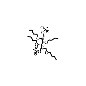 CCCCOC[C@@H](OS(C)(=O)=O)[C@@H](OCCCC)[C@H](OCCCC)[C@H](COS(C)(=O)=O)OCCCC